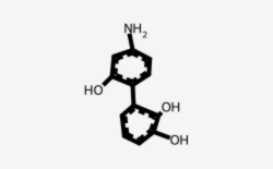 Nc1ccc(-c2cccc(O)c2O)c(O)c1